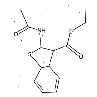 CCOC(=O)C1C(NC(C)=O)SC2C=CC=CC21